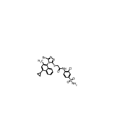 Cc1cc(C2CC2)c2ccccc2c1-n1c(Br)nnc1SCC(=O)Nc1ccc(S(N)(=O)=O)cc1Cl